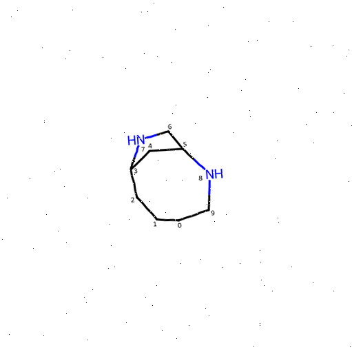 C1CCC2CC(CN2)NC1